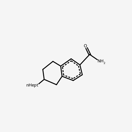 CCCCCCCC1CCc2cc(C(N)=O)ccc2C1